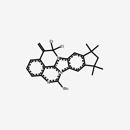 C=C1c2cccc3nc(C(C)(C)C)n4c5cc6c(cc5[n+](c4c23)C1(CC)CC)C(C)(C)CC6(C)C